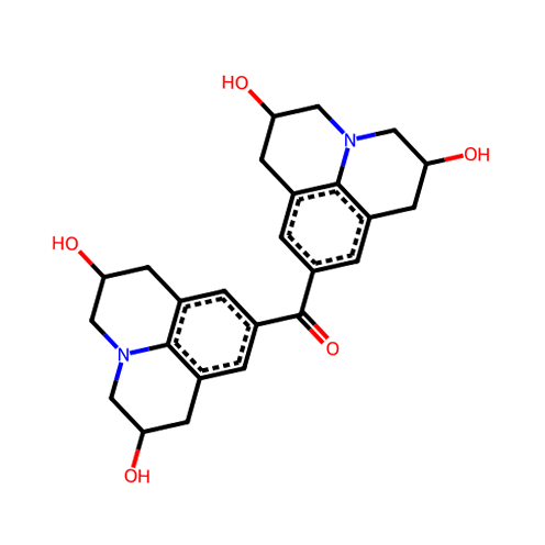 O=C(c1cc2c3c(c1)CC(O)CN3CC(O)C2)c1cc2c3c(c1)CC(O)CN3CC(O)C2